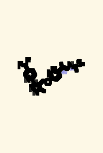 CS/C(C)=N/C=C(\C)c1ccc(OCc2c(C)nnn2-c2ccc(C(F)F)cn2)nn1